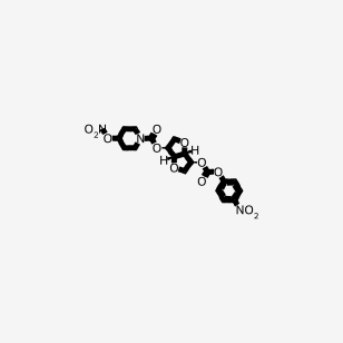 O=C(Oc1ccc([N+](=O)[O-])cc1)O[C@@H]1CO[C@H]2[C@@H]1OC[C@H]2OC(=O)N1CCC(O[N+](=O)[O-])CC1